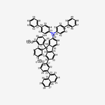 CC(C)(C)c1cccc(C2(c3cccc(C(C)(C)C)c3)c3cc(-c4cccc(-c5cccc6ccccc56)c4)ccc3-c3ccc(N(c4ccc(-c5ccccc5)cc4)c4ccc(-c5ccccc5)cc4)cc32)c1